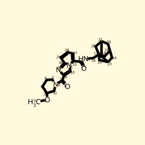 COC1CCCN(C(=O)c2cn3c(C(=O)NCC45CC6CC(CC(C6)C4)C5)cccc3n2)C1